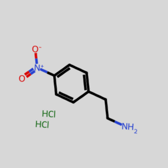 Cl.Cl.NCCc1ccc([N+](=O)[O-])cc1